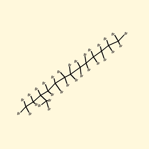 BrC(Br)(Br)C(Br)(Br)C(Br)(Br)C(Br)(Br)C(Br)(Br)C(Br)(Br)C(Br)(Br)C(Br)(Br)C(Br)(Br)C(Br)(Br)C(Br)(C(Br)(Br)Br)C(Br)(Br)C(Br)(Br)Br